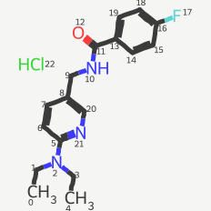 CCN(CC)c1ccc(CNC(=O)c2ccc(F)cc2)cn1.Cl